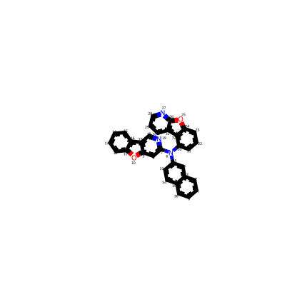 c1ccc2cc(N(c3cc4oc5ccccc5c4cn3)c3cccc4oc5ncccc5c34)ccc2c1